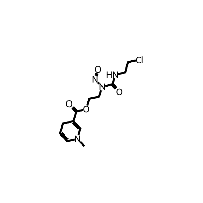 CN1C=CCC(C(=O)OCCN(N=O)C(=O)NCCCl)=C1